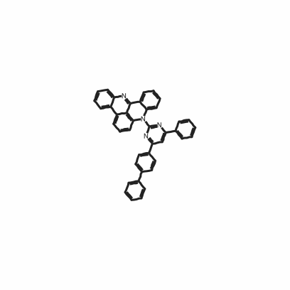 c1ccc(-c2ccc(-c3cc(-c4ccccc4)nc(N4c5ccccc5-c5nc6ccccc6c6cccc4c56)n3)cc2)cc1